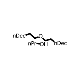 CCCCCCCCCCCCOCCCCCCCCCCCC.CCCO